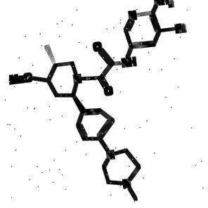 CCc1cc(NC(=O)C(=O)N2C[C@@H](C)C(OC)C[C@@H]2c2ccc(N3CCN(C)CC3)cc2)cnc1N